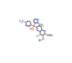 COc1nc2ccc(C(O)(c3ccc(C(F)(F)F)nc3)c3ccnn3C)cc2c(Cl)c1OC(C)C